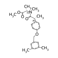 COC(=O)[C@H](C)N(C)C(=O)[C@H](C)c1ccc(OCc2cc(C)cc(C)c2)cc1